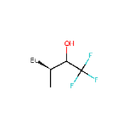 CC[C@H](C)C(O)C(F)(F)F